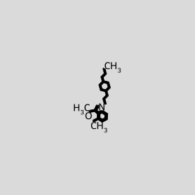 CCCCC1CCC(CCCn2cc(C(C)=O)c3c(CC)cccc32)CC1